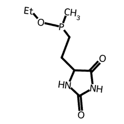 CCOP(C)CCC1NC(=O)NC1=O